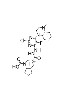 CN1CCN(c2nc(Cl)nc(NNC(=O)[C@@H](CNC(=O)O)CC3CCCC3)c2F)C2CCCCC21